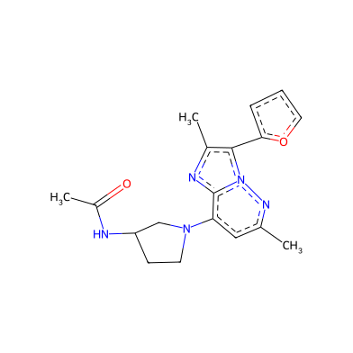 CC(=O)NC1CCN(c2cc(C)nn3c(-c4ccco4)c(C)nc23)C1